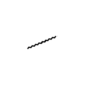 [CH2]CCCCCC=CC=CCCCCCCCC